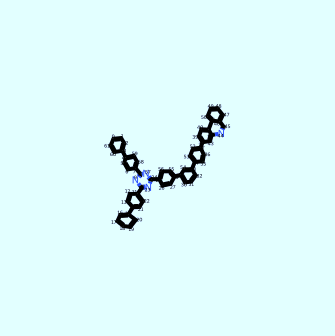 c1ccc(-c2ccc(-c3nc(-c4ccc(-c5ccccc5)cc4)nc(-c4ccc(-c5cccc(-c6ccc(-c7ccc8c(c7)ncc7ccccc78)cc6)c5)cc4)n3)cc2)cc1